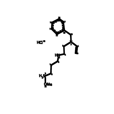 C=CN(CCNCCC[SiH2]OC)Cc1ccccc1.Cl